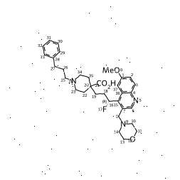 COc1ccc2ncc(CN3CCOCC3)c([C@H](F)CCC3(C(=O)O)CCN(CCCc4ccccc4)CC3)c2c1